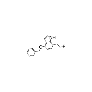 FCCc1ccc(OCc2ccccc2)c2cc[nH]c12